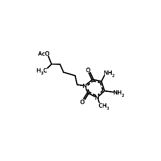 CC(=O)OC(C)CCCCn1c(=O)c(N)c(N)n(C)c1=O